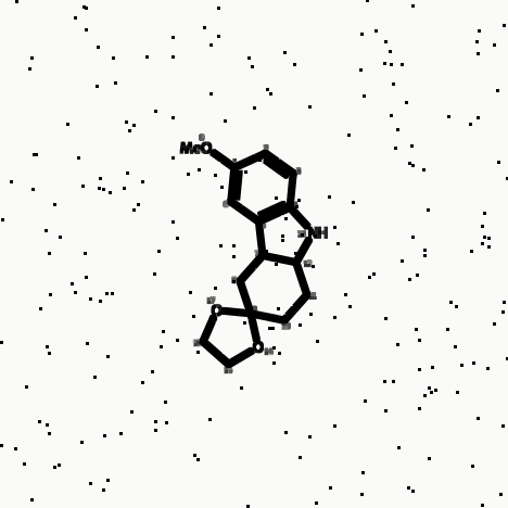 COc1ccc2c(c1)C1CC3(CCC1N2)OCCO3